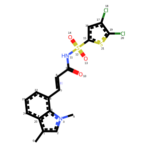 Cc1cn(C)c2c(/C=C/C(=O)NS(=O)(=O)c3cc(Cl)c(Cl)s3)cccc12